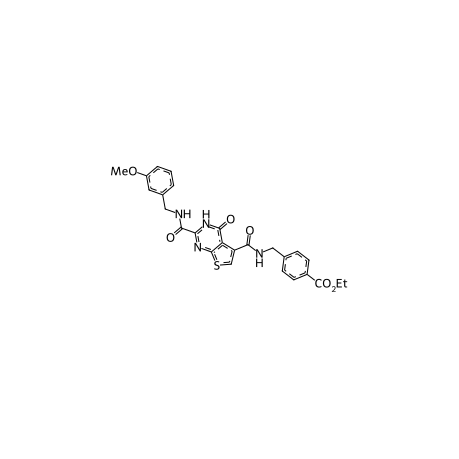 CCOC(=O)c1ccc(CNC(=O)c2csc3nc(C(=O)NCc4cccc(OC)c4)[nH]c(=O)c23)cc1